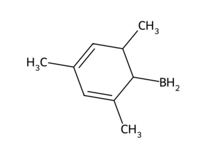 BC1C(C)=CC(C)=CC1C